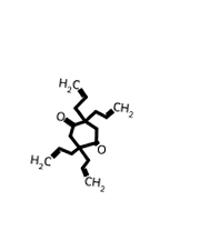 C=CCC1(CC=C)CC(=O)C(CC=C)(CC=C)CC1=O